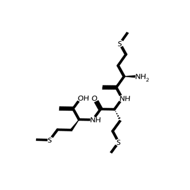 C=C(N[C@H](CCSC)C(=O)N[C@@H](CCSC)C(=C)O)[C@H](N)CCSC